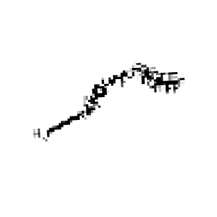 CCCCCCCCOc1cnc(-c2ccc(OCC[C@H](F)COCC(F)(F)OC(F)(F)C(F)(F)OC(F)(F)C(F)(F)C(F)(F)C(F)(F)F)cc2)nc1